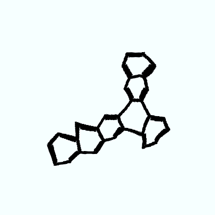 c1ccc2cc3cc4c(cc3cc2c1)c1ccccc1c1cc2ccccc2cc14